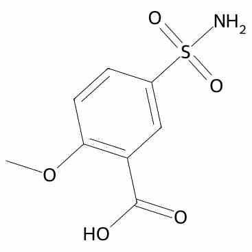 COc1ccc(S(N)(=O)=O)cc1C(=O)O